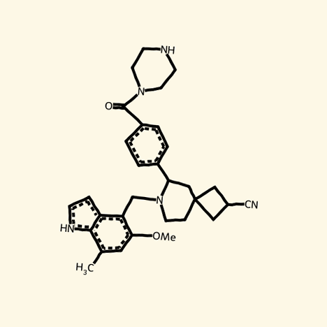 COc1cc(C)c2[nH]ccc2c1CN1CCC2(CC(C#N)C2)CC1c1ccc(C(=O)N2CCNCC2)cc1